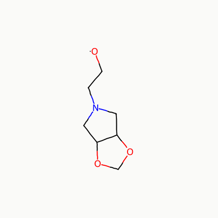 [O]CCN1CC2OCOC2C1